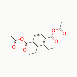 CCc1c(C(=O)OC(C)=O)ccc(C(=O)OC(C)=O)c1CC